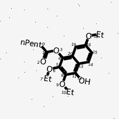 CCCCCC(=O)Oc1c(OCC)c(OCC)c(O)c2ccc(OCC)cc12